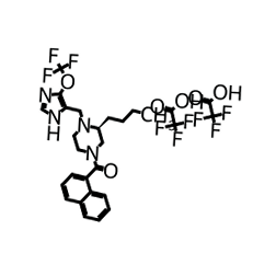 CCCC[C@H]1CN(C(=O)c2cccc3ccccc23)CCN1Cc1[nH]cnc1OC(F)(F)F.O=C(O)C(F)(F)F.O=C(O)C(F)(F)F